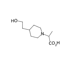 CC(C(=O)O)N1CCC(CCO)CC1